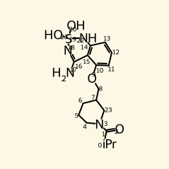 CC(C)C(=O)N1CCCC(COc2cccc3c2C(N)=NS(O)(O)N3)C1